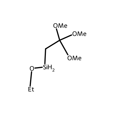 CCO[SiH2]CC(OC)(OC)OC